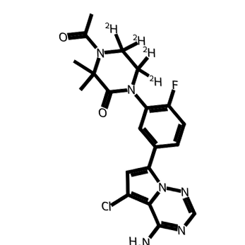 [2H]C1([2H])N(c2cc(-c3cc(Cl)c4c(N)ncnn34)ccc2F)C(=O)C(C)(C)N(C(C)=O)C1([2H])[2H]